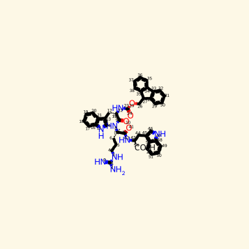 N=C(N)NCCC[C@H](NC(=O)[C@H](Cc1c[nH]c2ccccc12)NC(=O)OCC1c2ccccc2-c2ccccc21)C(=O)N[C@@H](Cc1c[nH]c2ccccc12)C(=O)O